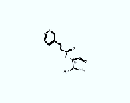 CC(C)[C@@H]([C]=O)NC(=O)CCc1cccnc1